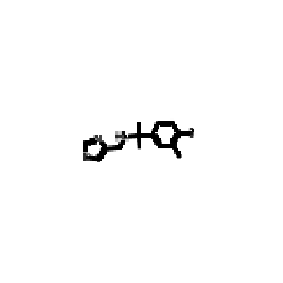 Cc1cc(C(C)(C)NCc2cscn2)ccc1Br